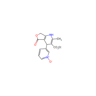 CCOC(=O)C1=C(C)NC2=C(C(=O)OC2)C1c1ccc[n+]([O-])c1